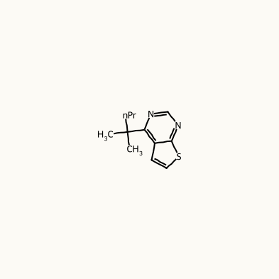 CCCC(C)(C)c1ncnc2sccc12